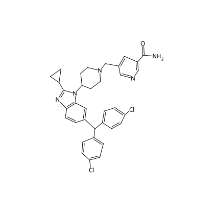 NC(=O)c1cncc(CN2CCC(n3c(C4CC4)nc4ccc(C(c5ccc(Cl)cc5)c5ccc(Cl)cc5)cc43)CC2)c1